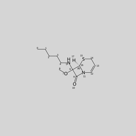 CCCCCNC1(OC)C(=O)N2C=CCS[C@@H]21